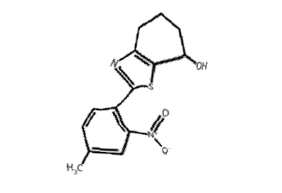 Cc1ccc(-c2nc3c(s2)C(O)CCC3)c([N+](=O)[O-])c1